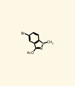 CC(=O)Oc1nn(C)c2ccc(Br)cc12